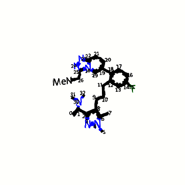 C=C(c1nn(C)c(C)c1CCCc1cc(F)ccc1-c1ccc2nnc(CNC)n2c1)N(C)C